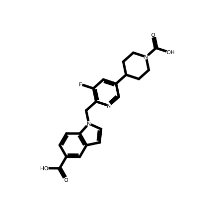 O=C(O)c1ccc2c(ccn2Cc2ncc(C3CCN(C(=O)O)CC3)cc2F)c1